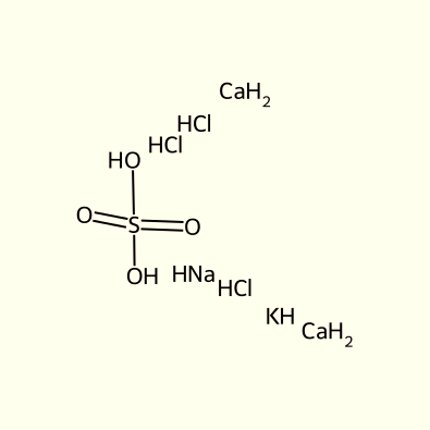 Cl.Cl.Cl.O=S(=O)(O)O.[CaH2].[CaH2].[KH].[NaH]